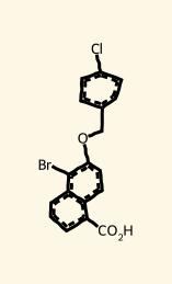 O=C(O)c1cccc2c(Br)c(OCc3ccc(Cl)cc3)ccc12